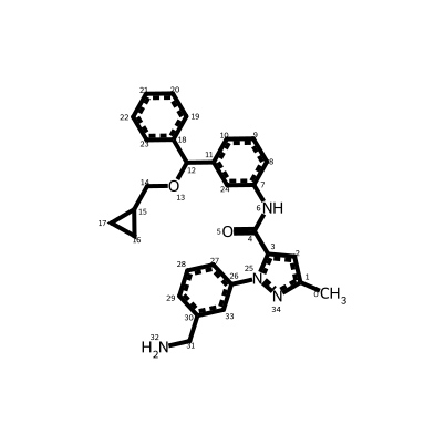 Cc1cc(C(=O)Nc2cccc(C(OCC3CC3)c3ccccc3)c2)n(-c2cccc(CN)c2)n1